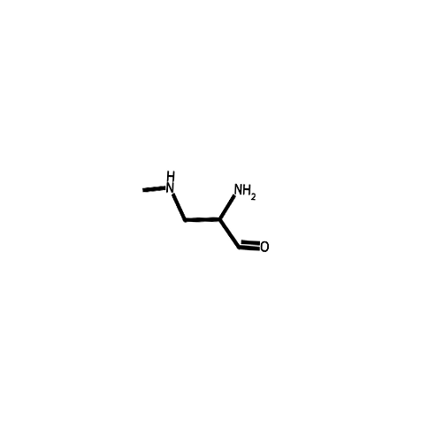 CNCC(N)C=O